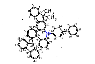 CC1(C)c2ccccc2-c2ccc(N(C3=CC=C(c4ccccc4)CC3)c3cccc4c3-c3ccccc3C43c4ccccc4-c4ccccc43)cc21